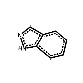 [c]1n[nH]c2[c]cccc12